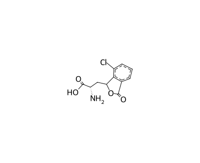 N[C@@H](CC1OC(=O)c2cccc(Cl)c21)C(=O)O